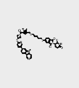 C[C@@H]1C2(COCCCCCOc3ccc4c(c3)C(=O)N(C3CCC(=O)NC3=O)C4=O)CC1(C(=O)N1CC(Oc3ccc(-c4ccc5c6cnccc6n(C)c5c4)cn3)C1)C2